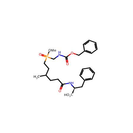 COP(=O)(CCC(C)CCC(=O)N[C@@H](Cc1ccccc1)C(=O)O)CNC(=O)OCc1ccccc1